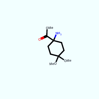 COC(=O)C1(N)CCC(OC)(OC)CC1